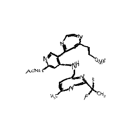 COCCc1cc(-c2cnc(NC(C)=O)cc2Nc2cc(C)nc(C(C)(F)F)n2)ncn1